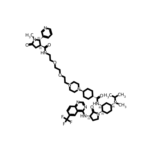 CC(C)N(C)[C@@H]1CC[C@H](N2CC[C@H](Nc3ncnc4ccc(C(F)(F)F)cc34)C2=O)[C@H](NC(=O)[C@H]2CC[C@H](N3CCN(CCOCCOCCNC(=O)[C@H]4CC(=O)N(C)[C@@H]4c4cccnc4)CC3)CC2)C1